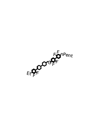 CCCCCc1ccc(-c2ccc(OCC3CCC(C4CC=C(c5ccc(CC)c(F)c5F)CC4)CC3)c(F)c2F)c(F)c1F